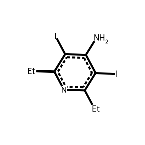 CCc1nc(CC)c(I)c(N)c1I